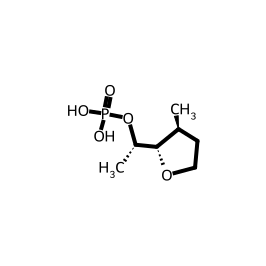 C[C@H](OP(=O)(O)O)[C@H]1OCC[C@@H]1C